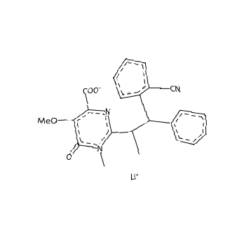 COc1c(C(=O)[O-])nc(C(C)C(c2ccccc2)c2ccccc2C#N)n(C)c1=O.[Li+]